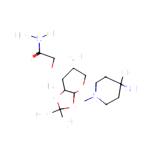 CN(C)C(=O)CO[C@@H]1[C@H](O)CO[C@@]2(CN3CCC(C)(N)CC3)OC(C)(C)O[C@@H]12